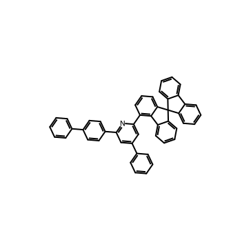 c1ccc(-c2ccc(-c3cc(-c4ccccc4)cc(-c4cccc5c4-c4ccccc4C54c5ccccc5-c5ccccc54)n3)cc2)cc1